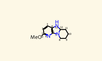 COc1ccc2c(n1)N1CCCCC1N2